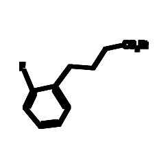 CCOC(=O)CCCc1ccccc1F